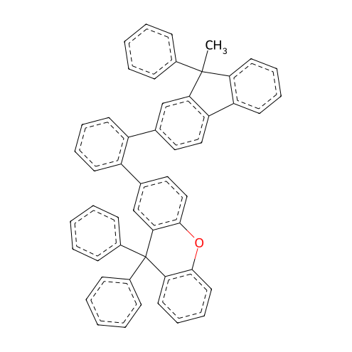 CC1(c2ccccc2)c2ccccc2-c2ccc(-c3ccccc3-c3ccc4c(c3)C(c3ccccc3)(c3ccccc3)c3ccccc3O4)cc21